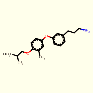 CCOC(=O)C(C)COc1ccc(Oc2cccc(CCCN)c2)cc1C